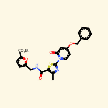 CCOC(=O)c1ccc(CNC(=O)c2sc(-n3ccc(OCc4ccccc4)cc3=O)nc2C)o1